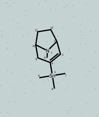 CN1C2C=[C]([Sn]([CH3])([CH3])[CH3])CC1CC2